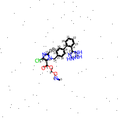 C=NOCOC(=O)c1c(Cl)nc(CCCC)n1Cc1ccc(-c2ccccc2C2=NNNN2)cc1